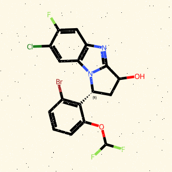 OC1C[C@H](c2c(Br)cccc2OC(F)F)n2c1nc1cc(F)c(Cl)cc12